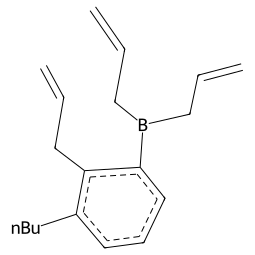 C=CCB(CC=C)c1cccc(CCCC)c1CC=C